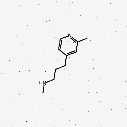 CNCCCc1ccnc(C)c1